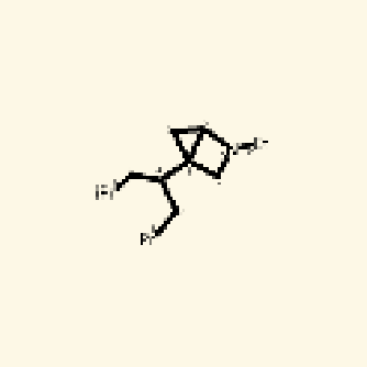 CCN1CC2(C(CC(C)C)CC(C)C)CC12